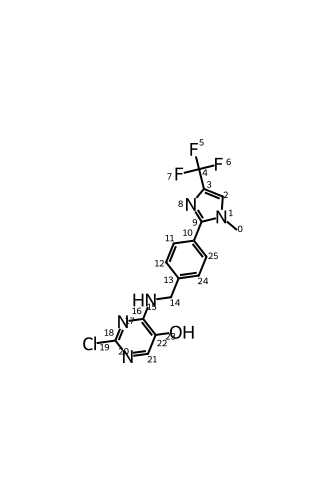 Cn1cc(C(F)(F)F)nc1-c1ccc(CNc2nc(Cl)ncc2O)cc1